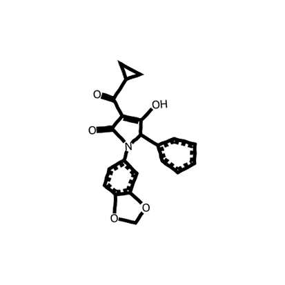 O=C(C1=C(O)C(c2ccccc2)N(c2ccc3c(c2)OCO3)C1=O)C1CC1